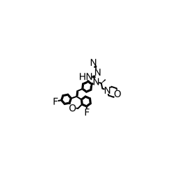 C[C@@H](CN1CCOCC1)n1c(=NC#N)[nH]c2cc(C=C3c4ccc(F)cc4OCc4c(F)cccc43)ccc21